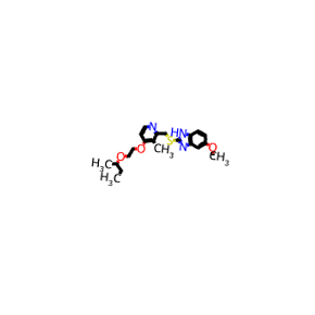 CCC(C)OCCOc1ccnc(CSc2nc3cc(OC)ccc3[nH]2)c1C